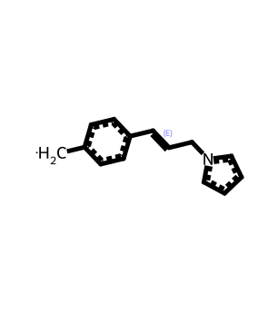 [CH2]c1ccc(/C=C/Cn2cccc2)cc1